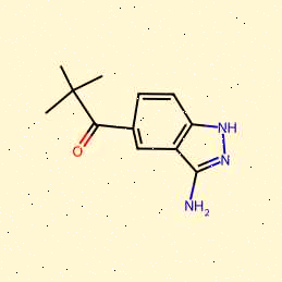 CC(C)(C)C(=O)c1ccc2[nH]nc(N)c2c1